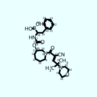 CC(C)(C=C(C#N)C(=O)N1CCCC[C@@H](OC(=O)NC(Cc2ccccc2)B(O)O)C1)N1CCOCC1